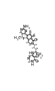 CC(F)c1cnc(N)nc1-c1cc2ccn(CCC[C@H](C)NC3=C(C(F)(F)F)C(=O)NCN=C3)c(=O)c2c(F)c1F